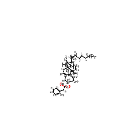 CC(C)CCC[C@@H](C)[C@H]1CC[C@H]2[C@@H]3CC=C4C[C@@H](OC(=O)Cc5ccccc5)CC[C@]4(C)[C@H]3CC[C@]12C